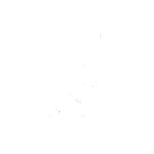 Cc1ccc(/C=C/CN2CCN(C(C)C)CC2)cc1